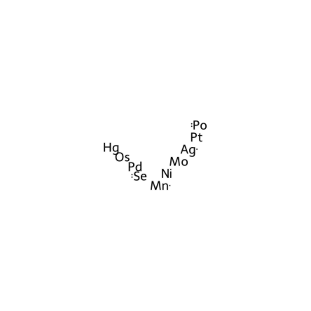 [Ag].[Hg].[Mn].[Mo].[Ni].[Os].[Pd].[Po].[Pt].[Se]